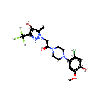 COc1cc(N2CCN(C(=O)Cn3nc(C(F)(F)F)c(Br)c3C)CC2)c(Cl)cc1Br